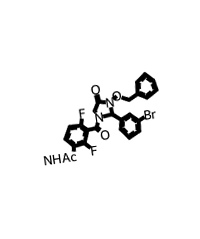 CC(=O)Nc1ccc(F)c(C(=O)N2CC(=O)N(OCc3ccccc3)C2c2cccc(Br)c2)c1F